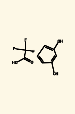 O=C(O)C(F)(F)F.Oc1cccc(O)c1